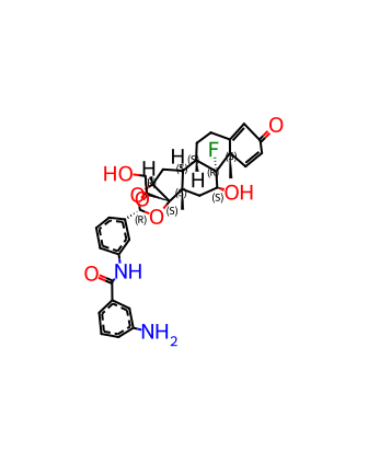 C[C@]12C=CC(=O)C=C1CC[C@H]1[C@@H]3C[C@H]4O[C@@H](c5cccc(NC(=O)c6cccc(N)c6)c5)O[C@@]4(C(=O)CO)[C@@]3(C)C[C@H](O)[C@@]12F